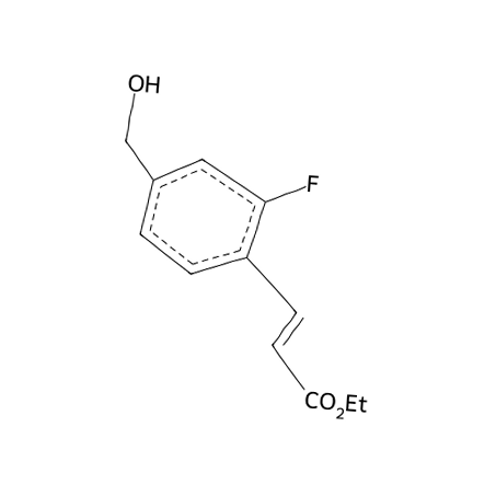 CCOC(=O)/C=C/c1ccc(CO)cc1F